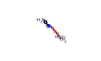 CC(S)NCCOCCOCCOCCn1cc(-c2ccc(N)cc2)nn1